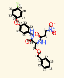 O=C(CC[N+](=O)[O-])NC(COCc1ccccc1)C(=O)Nc1ccc(Oc2ccc(F)cc2)cc1